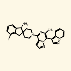 Cc1nc(N2CCC3(CC2)Cc2c(F)cccc2[C@H]3N)c2ccnn2c1-c1cnn2ccccc12